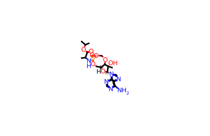 CC(C)OC(=O)C(C)NP1(=O)OCOC2[C@@H](CO1)O[C@@H](n1cnc3c(N)ncnc31)C2(C)O